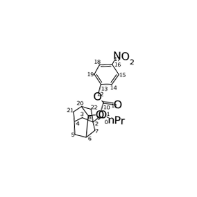 CCCOC12CC3CC(C1)C(OC(=O)Oc1ccc([N+](=O)[O-])cc1)C(C3)C2